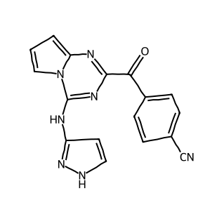 N#Cc1ccc(C(=O)c2nc(Nc3cc[nH]n3)n3cccc3n2)cc1